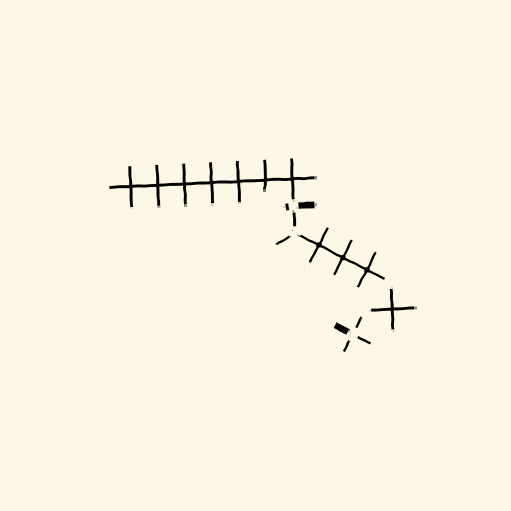 CCN(C(F)(F)C(F)(F)C(F)(F)OC(F)(OP(=O)(O)O)C(F)(F)F)S(=O)(=O)C(F)(F)C(F)(F)C(F)(F)C(F)(F)C(F)(F)C(F)(F)C(F)(F)C(F)(F)F